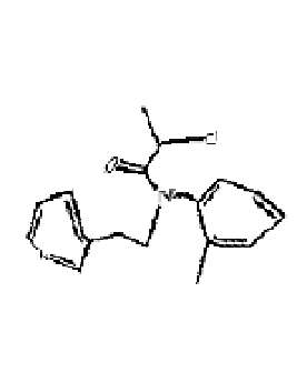 Cc1ccccc1N(Cc1cccnc1)C(=O)C(C)Cl